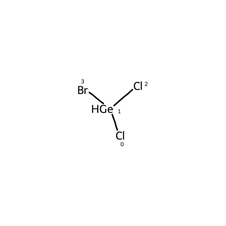 [Cl][GeH]([Cl])[Br]